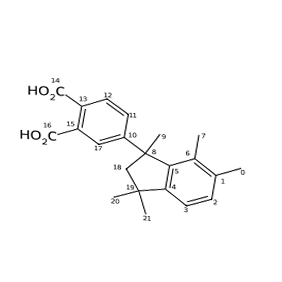 Cc1ccc2c(c1C)C(C)(c1ccc(C(=O)O)c(C(=O)O)c1)CC2(C)C